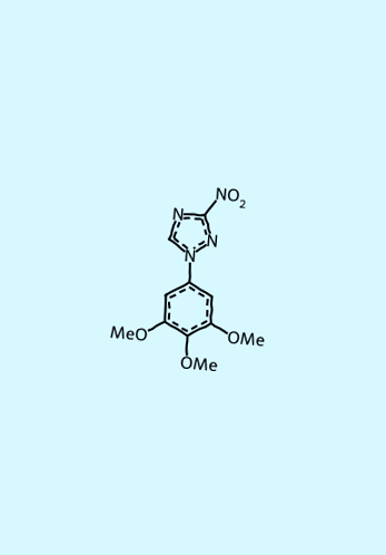 COc1cc(-n2cnc([N+](=O)[O-])n2)cc(OC)c1OC